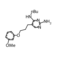 CCCCNc1nc(N)ncc1CCCOc1cccc(OC)c1